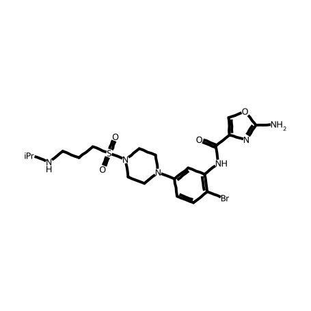 CC(C)NCCCS(=O)(=O)N1CCN(c2ccc(Br)c(NC(=O)c3coc(N)n3)c2)CC1